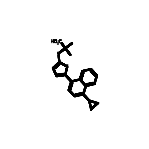 CC(C)(Sc1ccc(-c2ccc(C3CC3)c3ccccc23)s1)C(=O)O